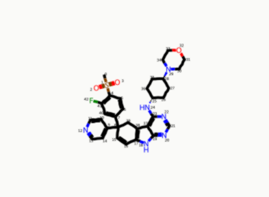 CS(=O)(=O)c1ccc(C2(c3ccncc3)C=Cc3[nH]c4ncnc(N[C@H]5CC[C@H](N6CCOCC6)CC5)c4c3C2)cc1F